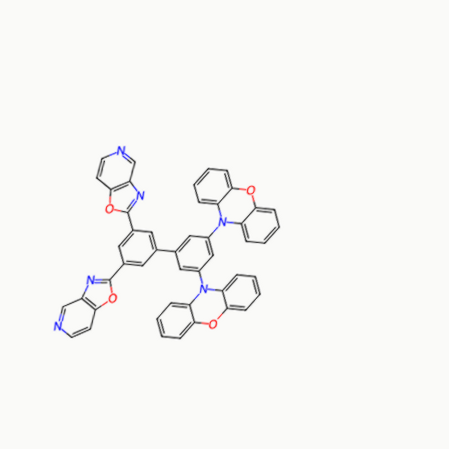 c1ccc2c(c1)Oc1ccccc1N2c1cc(-c2cc(-c3nc4cnccc4o3)cc(-c3nc4cnccc4o3)c2)cc(N2c3ccccc3Oc3ccccc32)c1